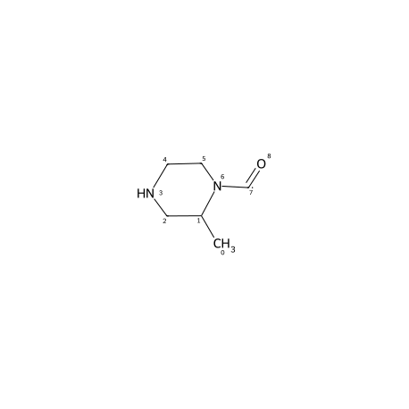 CC1CNCCN1[C]=O